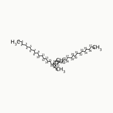 CCCCCCCCCCCCCCCCC[N+](CC)(CC)CCCCCCCCCCCCCCCCC